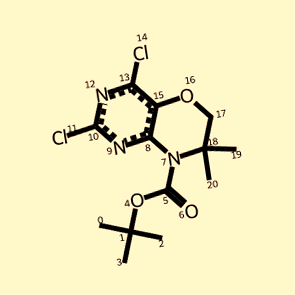 CC(C)(C)OC(=O)N1c2nc(Cl)nc(Cl)c2OCC1(C)C